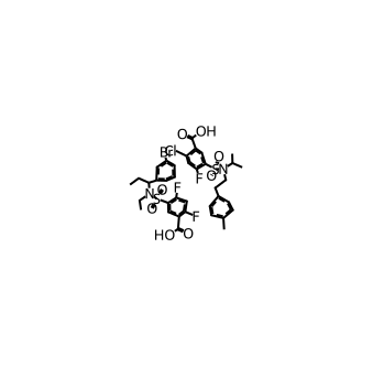 CCC(c1cccc(Br)c1)N(CC)S(=O)(=O)c1cc(C(=O)O)c(F)cc1F.Cc1ccc(CCN(C(C)C)S(=O)(=O)c2cc(C(=O)O)c(Cl)cc2F)cc1